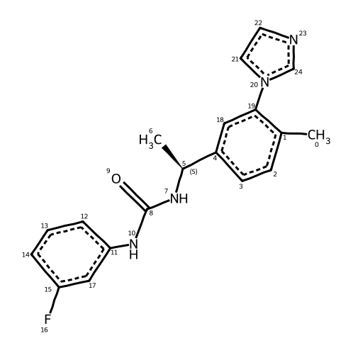 Cc1ccc([C@H](C)NC(=O)Nc2cccc(F)c2)cc1-n1ccnc1